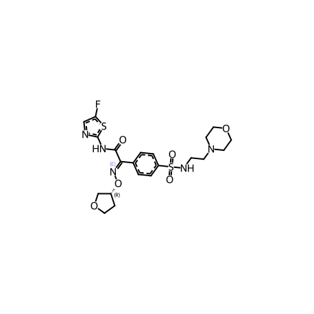 O=C(Nc1ncc(F)s1)/C(=N/O[C@@H]1CCOC1)c1ccc(S(=O)(=O)NCCN2CCOCC2)cc1